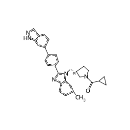 Cc1ccc2nc(-c3ccc(-c4ccc5cn[nH]c5c4)cc3)n(C[C@@H]3CCN(C(=O)C4CC4)C3)c2c1